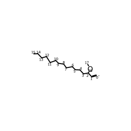 [CH]=CC(CCCCCCCCCCCCC)OC